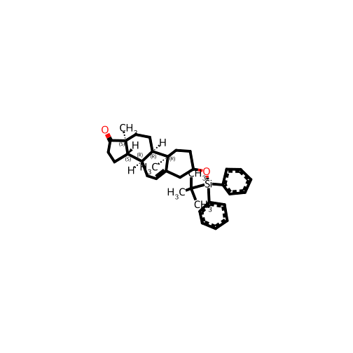 CC(C)(C)[Si](OC1CC[C@@]2(C)C(=CC[C@@H]3[C@H]2CC[C@]2(C)C(=O)CC[C@@H]32)C1)(c1ccccc1)c1ccccc1